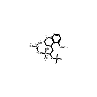 C[Si](C)(C)OC(CC1CCOc2cccc(SCl)c21)P(=O)(O)O.O=[PH](O)O